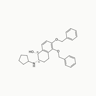 O[C@@H]1c2ccc(OCc3ccccc3)c(OCc3ccccc3)c2CC[C@@H]1NC1CCCC1